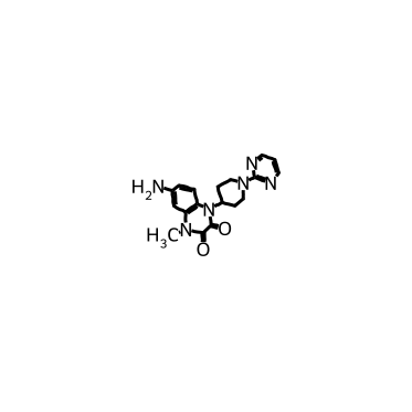 Cn1c(=O)c(=O)n(C2CCN(c3ncccn3)CC2)c2ccc(N)cc21